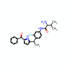 CC(c1ccc(C(=O)c2ccccc2)[nH]1)c1ccc(NC(=O)[C@@H](N)C(C)C)cc1F